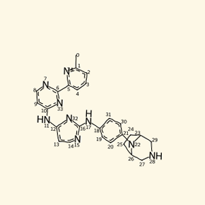 Cc1cccc(-c2nccc(Nc3ccnc(Nc4ccc(N5C6CCC5CNC6)cc4)n3)n2)n1